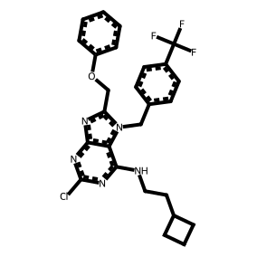 FC(F)(F)c1ccc(Cn2c(COc3ccccc3)nc3nc(Cl)nc(NCCC4CCC4)c32)cc1